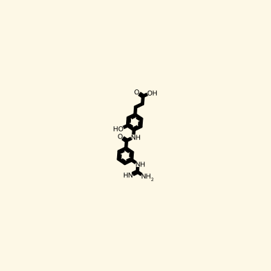 N=C(N)Nc1cccc(C(=O)Nc2ccc(CCC(=O)O)cc2O)c1